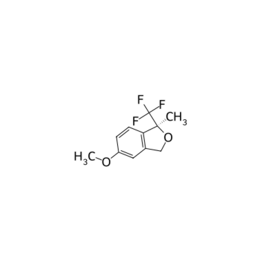 COc1ccc2c(c1)CO[C@]2(C)C(F)(F)F